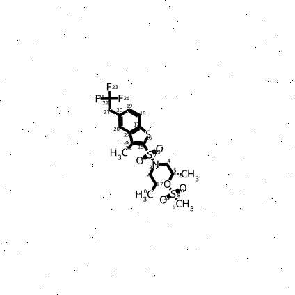 CCCN(C[C@H](C)OS(C)(=O)=O)S(=O)(=O)c1sc2ccc(CC(F)(F)F)cc2c1C